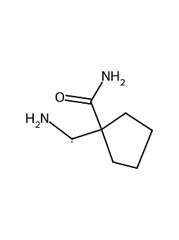 N[CH]C1(C(N)=O)CCCC1